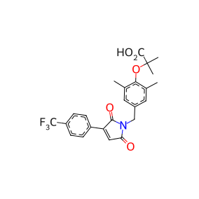 Cc1cc(CN2C(=O)C=C(c3ccc(C(F)(F)F)cc3)C2=O)cc(C)c1OC(C)(C)C(=O)O